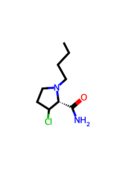 CCCCN1CCC(Cl)[C@H]1C(N)=O